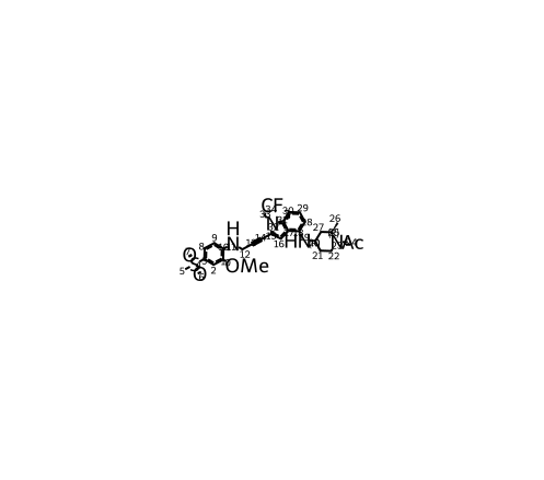 COc1cc(S(C)(=O)=O)ccc1NCC#Cc1cc2c(N[C@@H]3CCN(C(C)=O)[C@H](C)C3)cccc2n1CC(F)(F)F